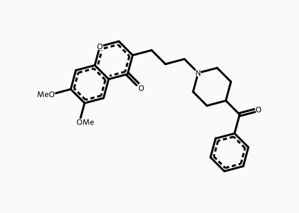 COc1cc2occ(CCCN3CCC(C(=O)c4ccccc4)CC3)c(=O)c2cc1OC